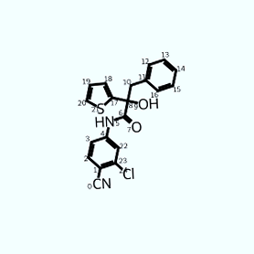 N#Cc1ccc(NC(=O)C(O)(Cc2ccccc2)c2cccs2)cc1Cl